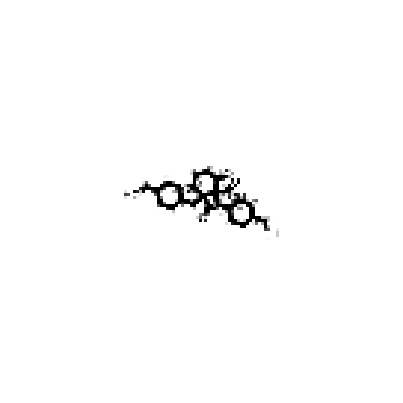 O=C(O)C1(CC2CCC(CO)CC2)C(=O)CCC(=O)C1(CC1CCC(CO)CC1)C(=O)O